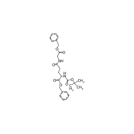 CC(C)(C)OC(=O)NC(CCC(=O)NCC(=O)OCc1ccccc1)C(=O)OCc1ccccc1